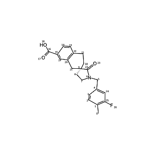 Cc1ccc(CN2CC[C@]3(CCc4ccc(C(=O)O)cc4C3)C2=O)cc1F